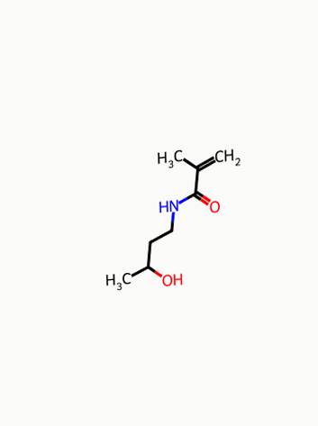 C=C(C)C(=O)NCCC(C)O